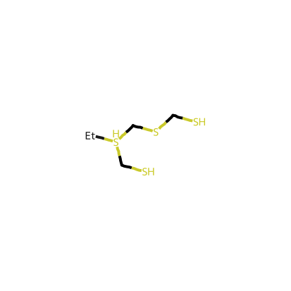 CC[SH](CS)CSCS